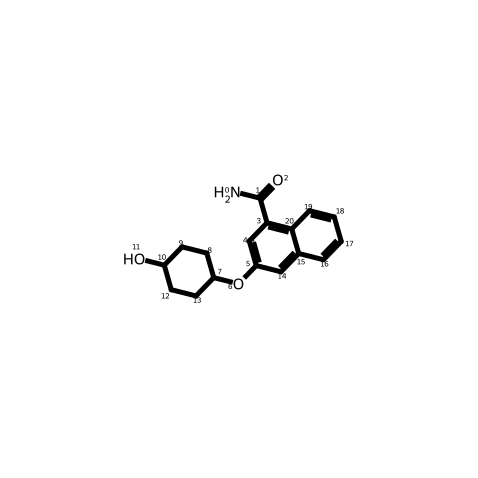 NC(=O)c1[c]c(OC2CCC(O)CC2)cc2ccccc12